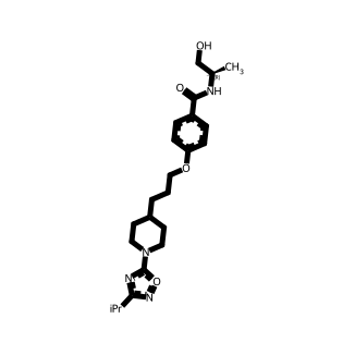 CC(C)c1noc(N2CCC(CCCOc3ccc(C(=O)N[C@H](C)CO)cc3)CC2)n1